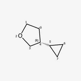 [CH]1COC[C@H]1C1CC1